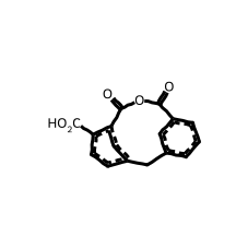 O=C1OC(=O)c2cc(ccc2C(=O)O)Cc2cccc1c2